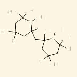 CCC1(O)CC(C)(C)N(O)C(C)(CC2(C)CC(C)(O)CC(C)(C)N2O)C1